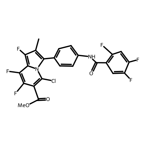 COC(=O)c1c(F)c(F)c2c(F)c(C)c(-c3ccc(NC(=O)c4cc(F)c(F)cc4F)cc3)n2c1Cl